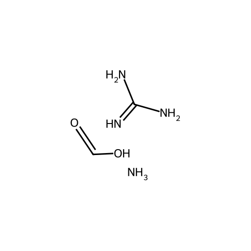 N.N=C(N)N.O=CO